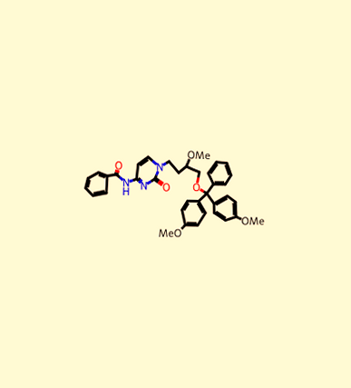 COc1ccc(C(OCC(CCn2ccc(NC(=O)c3ccccc3)nc2=O)OC)(c2ccccc2)c2ccc(OC)cc2)cc1